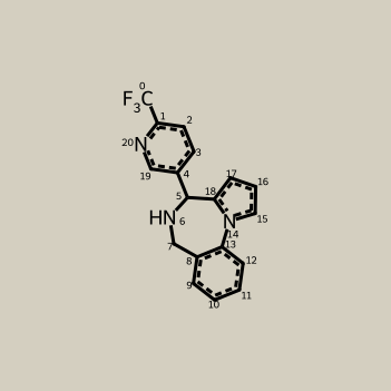 FC(F)(F)c1ccc(C2NCc3ccccc3-n3cccc32)cn1